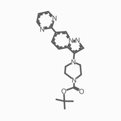 CC(C)(C)OC(=O)N1CCN(c2cnn3cc(-c4ncccn4)ccc23)CC1